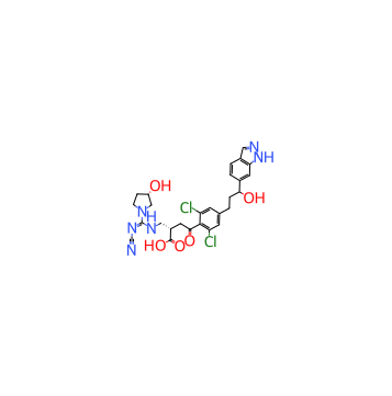 N#C/N=C(\NC[C@H](CC(=O)c1c(Cl)cc(CCC(O)c2ccc3cn[nH]c3c2)cc1Cl)C(=O)O)N1CC[C@H](O)C1